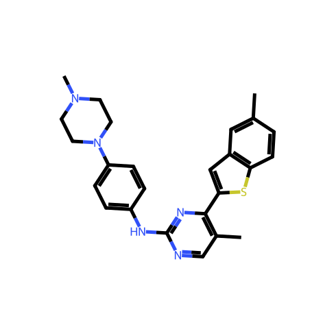 Cc1ccc2sc(-c3nc(Nc4ccc(N5CCN(C)CC5)cc4)ncc3C)cc2c1